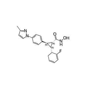 Cc1ccn(-c2ccc([C@H]3[C@H](C(=O)NO)[C@@H]3C3CC=CC=C3F)cc2)n1